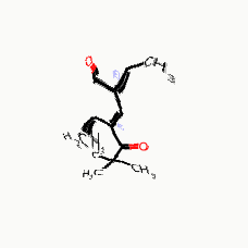 C=C/C(=C\C(C=O)=C/C)C(=O)C(C)(C)C